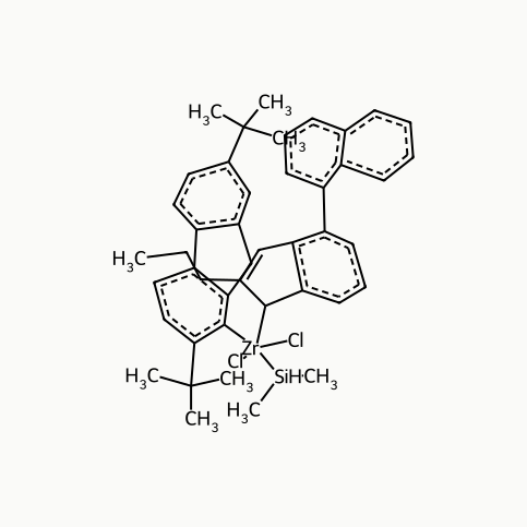 CCCC1=Cc2c(-c3cccc4ccccc34)cccc2[CH]1[Zr]([Cl])([Cl])([c]1c(C(C)(C)C)ccc2c1Cc1cc(C(C)(C)C)ccc1-2)[SiH](C)C